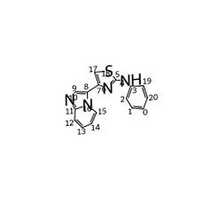 c1ccc(Nc2nc(-c3cnc4ccccn34)cs2)cc1